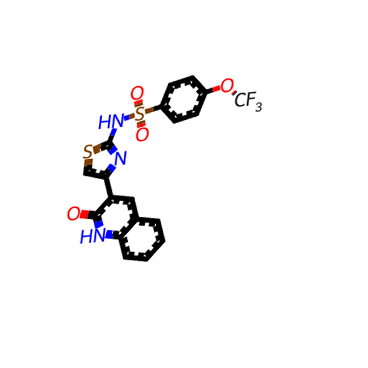 O=c1[nH]c2ccccc2cc1-c1csc(NS(=O)(=O)c2ccc(OC(F)(F)F)cc2)n1